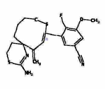 C=C1/C=C(/c2cc(C#N)cc(OC)c2F)SCCCCC12CCSC(N)=N2